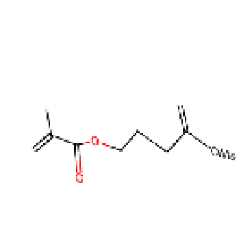 C=C(CCCOC(=O)C(=C)C)OC